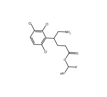 CCCC(F)OC(=O)CCC(CN)c1c(Cl)ccc(Cl)c1Cl